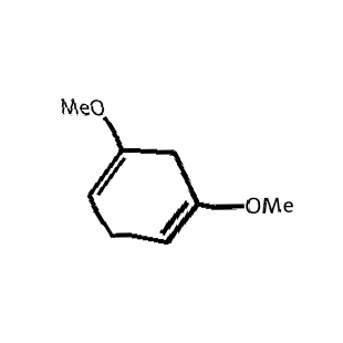 COC1=CCC=C(OC)C1